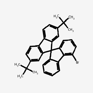 CC(C)(C)c1ccc2c(c1)C1(c3cc(C(C)(C)C)ccc3-2)c2ccccc2-c2c(Br)cccc21